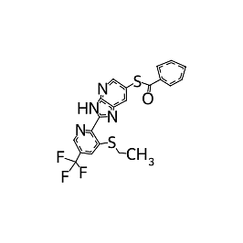 CCSc1cc(C(F)(F)F)cnc1-c1nc2cc(SC(=O)c3ccccc3)cnc2[nH]1